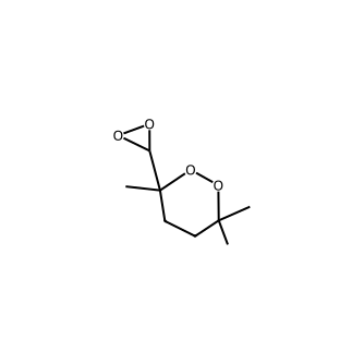 CC1(C)CCC(C)(C2OO2)OO1